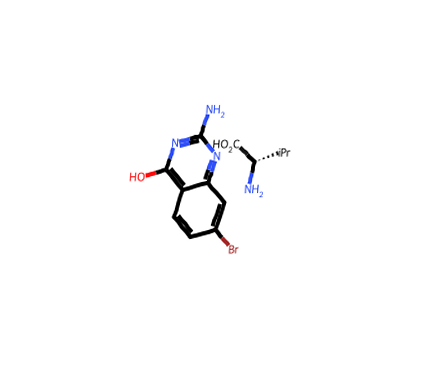 CC(C)[C@H](N)C(=O)O.Nc1nc(O)c2ccc(Br)cc2n1